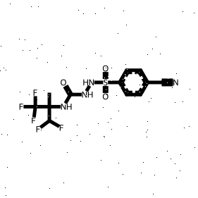 CC(NC(=O)NNS(=O)(=O)c1ccc(C#N)cc1)(C(F)F)C(F)(F)F